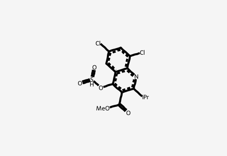 COC(=O)c1c(C(C)C)nc2c(Cl)cc(Cl)cc2c1O[SH](=O)=O